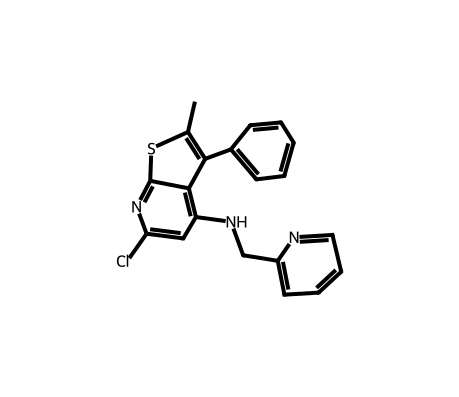 Cc1sc2nc(Cl)cc(NCc3ccccn3)c2c1-c1ccccc1